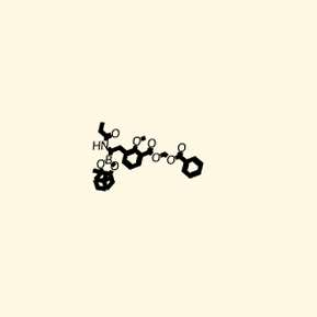 CCC(=O)NC(Cc1cccc(C(=O)OCOC(=O)c2ccccc2)c1OC)B1OC2CC3CC(C3(C)C)C2(C)O1